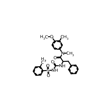 COc1ccc(N(C)C(=O)C(Cc2ccccc2)NC(=O)NS(=O)(=O)c2ccccc2C)cc1C